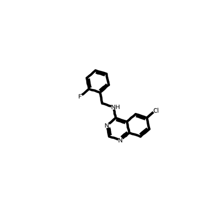 Fc1ccccc1CNc1ncnc2ccc(Cl)cc12